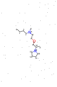 CCCCN(C)CCOCC(C)N1CCCC1